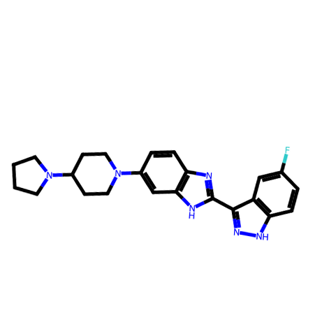 Fc1ccc2[nH]nc(-c3nc4ccc(N5CCC(N6CCCC6)CC5)cc4[nH]3)c2c1